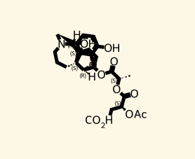 CC(=O)O[C@@H](CC(=O)O)C(=O)O[C@@H](C)C(=O)OC1=CC[C@@]2(O)[C@H]3Cc4ccc(O)c5c4[C@@]2(CCCN3C)[C@H]1O5